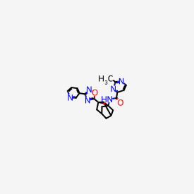 Cc1nccc(C(=O)NC23CC4CC(C2)CC(c2nc(-c5cccnc5)no2)(C4)C3)n1